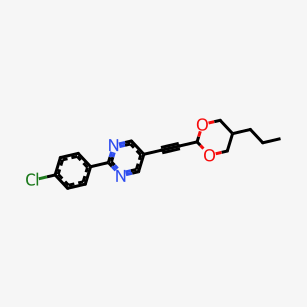 CCCC1COC(C#Cc2cnc(-c3ccc(Cl)cc3)nc2)OC1